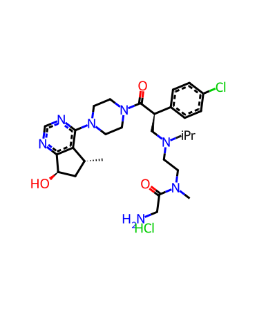 CC(C)N(CCN(C)C(=O)CN)C[C@@H](C(=O)N1CCN(c2ncnc3c2[C@H](C)C[C@H]3O)CC1)c1ccc(Cl)cc1.Cl